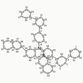 c1ccc(-c2cccc(-c3ccc(N(c4ccc(-c5cccc(-c6ccccc6)c5)cc4)c4cc(-c5ccc6ccccc6c5)ccc4-c4ccc5ccccc5c4)cc3)c2)cc1